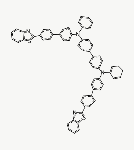 C1=CC(N(c2ccc(-c3ccc(-c4nc5ccccc5s4)cc3)cc2)c2ccc(-c3ccc(N(c4ccccc4)c4ccc(-c5ccc(-c6nc7ccccc7s6)cc5)cc4)cc3)cc2)=CCC1